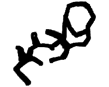 CCC1CC2CCCC(C2)C1(C)OC(=O)C(C)(C)CC